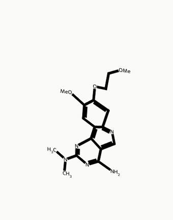 COCCOc1cc2ncc3c(N)nc(N(C)C)nc3c2cc1OC